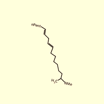 CCCCCC=CCC=CCCCCCCC(C)NC